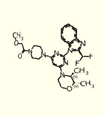 COCC(=O)N1CCN(c2cc(N3CCO[C@@H](C)[C@@H]3C)nc(-n3c(C(F)F)nc4ccccc43)n2)CC1